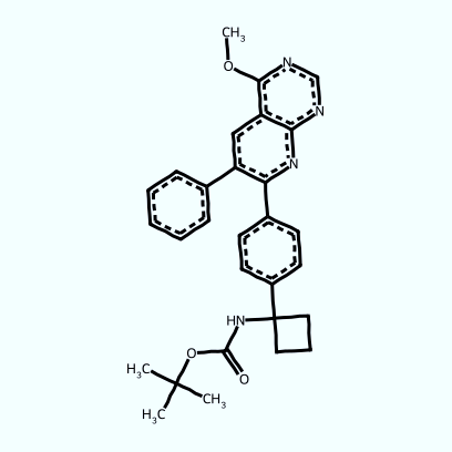 COc1ncnc2nc(-c3ccc(C4(NC(=O)OC(C)(C)C)CCC4)cc3)c(-c3ccccc3)cc12